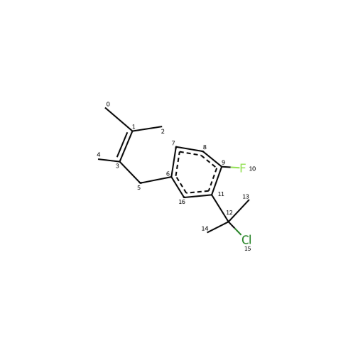 CC(C)=C(C)Cc1ccc(F)c(C(C)(C)Cl)c1